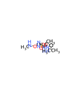 CNCCOc1cncc(S(=O)(=O)NC(=O)Nc2c(C(C)C)cccc2C(C)C)n1